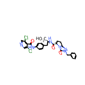 O=C(Nc1ccc(C[C@H](NC(=O)[C@@H]2CCc3nn(Cc4ccccc4)c(=O)n32)C(=O)O)cc1)c1c(Cl)cncc1Cl